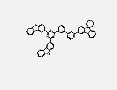 c1cc(-c2cccc(-c3nc(-c4ccc5oc6ccccc6c5c4)nc(-c4ccc5oc6ccccc6c5c4)n3)c2)cc(-c2ccc3c(c2)-c2ccccc2C32CCCCC2)c1